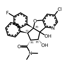 CN(C)C(=O)[C@H]1[C@@H](O)C2(O)c3ncc(Cl)cc3O[C@@]2(c2ccc(F)cc2)[C@@H]1c1ccccc1